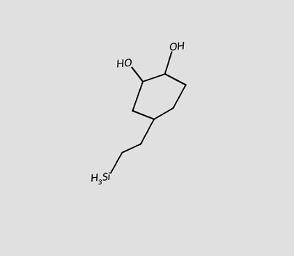 OC1CCC(CC[SiH3])CC1O